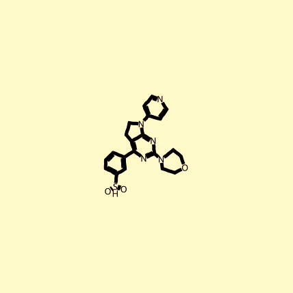 O=[SH](=O)c1cccc(-c2nc(N3CCOCC3)nc3c2CCN3c2ccncc2)c1